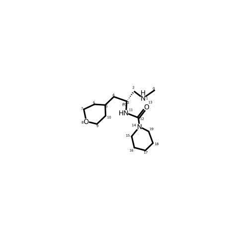 CNC[C@@H](CC1CCOCC1)NC(=O)N1CCCCC1